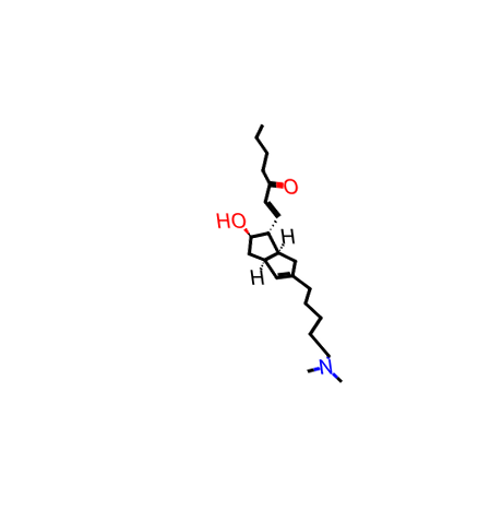 CCCCC(=O)/C=C/[C@@H]1[C@H]2CC(CCCCCN(C)C)=C[C@H]2C[C@H]1O